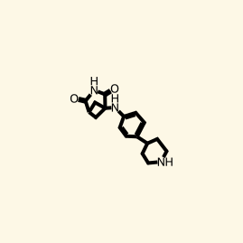 O=C1NC(=O)C2(Nc3ccc(C4CCNCC4)cc3)CC1C2